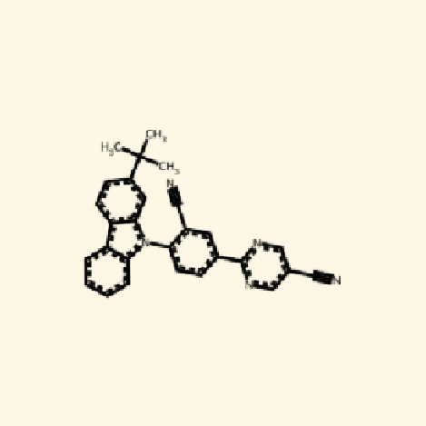 CC(C)(C)c1ccc2c3ccccc3n(-c3ccc(-c4ncc(C#N)cn4)cc3C#N)c2c1